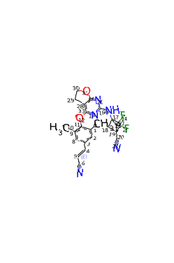 Cc1cc(/C=C/C#N)cc(C)c1Oc1nc(NC23CC(C#N)(C2)C3(F)F)nc2c1CCO2